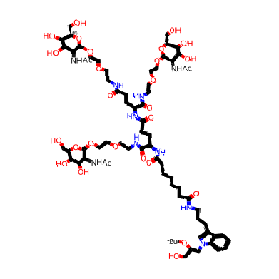 CC(=O)NC1C(OCCOCCNC(=O)C(CCC(=O)NCCOCCOC2O[C@H](CO)C(O)C(O)C2NC(C)=O)NC(=O)CCC(NC(=O)CCCCCCC(=O)NCCCc2cn(CC(CO)OC(C)(C)C)c3ccccc23)C(=O)NCCOCCOC2OC(CO)C(O)C(O)C2NC(C)=O)OC(CO)C(O)C1O